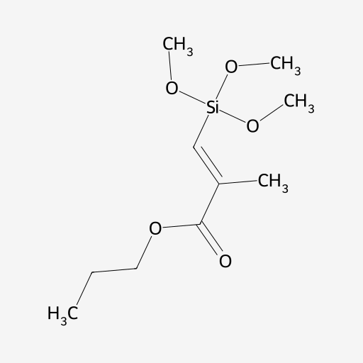 CCCOC(=O)C(C)=C[Si](OC)(OC)OC